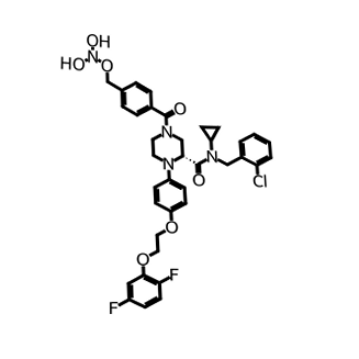 O=C(c1ccc(CON(O)O)cc1)N1CCN(c2ccc(OCCOc3cc(F)ccc3F)cc2)[C@@H](C(=O)N(Cc2ccccc2Cl)C2CC2)C1